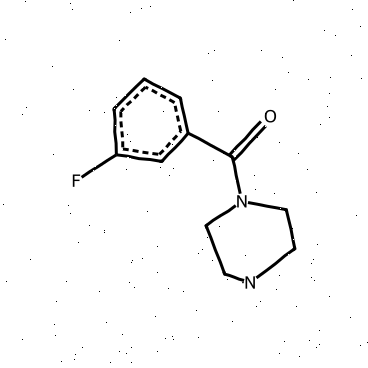 O=C(c1cccc(F)c1)N1CC[N]CC1